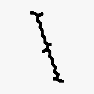 CC(C)(C)NCCOCCOCC(=O)NCCOCCOCC(=O)C(C)(C)C